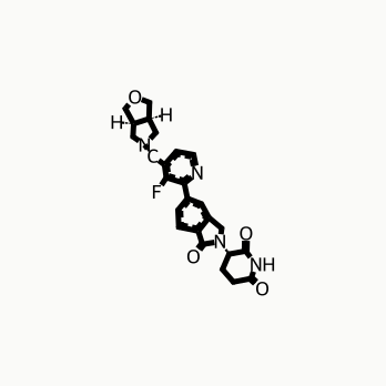 O=C1CC[C@H](N2Cc3cc(-c4nccc(CN5C[C@H]6COC[C@H]6C5)c4F)ccc3C2=O)C(=O)N1